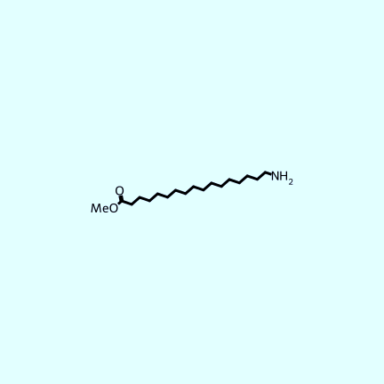 COC(=O)CCCCCCCCCCCCCCCCN